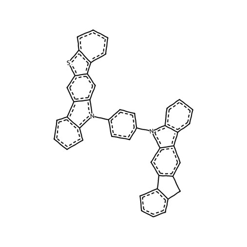 c1ccc2c(c1)Cc1cc3c4ccccc4n(-c4ccc(-n5c6ccccc6c6cc7sc8ccccc8c7cc65)cc4)c3cc1-2